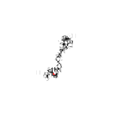 COC(=O)N[C@H](C(=O)N1C2CCC(C2)[C@H]1c1nc2ccc(-c3ccc4oc(-c5cnc([C@@H]6CC7CCCCC7N6C(=O)[C@@H](NC(=O)OC)C(C)C)[nH]5)cc4c3)cc2[nH]1)C(C)C